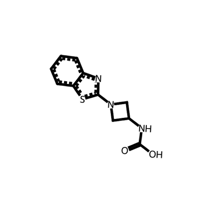 O=C(O)NC1CN(c2nc3ccccc3s2)C1